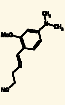 COc1cc(N(C)C)ccc1C=NCCO